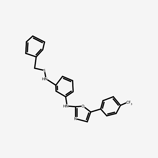 FC(F)(F)c1ccc(-c2cnc(Nc3cccc(NSCc4ccccc4)c3)o2)cc1